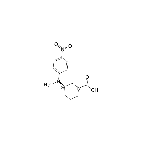 CN(c1ccc([N+](=O)[O-])cc1)[C@@H]1CCCN(C(=O)O)C1